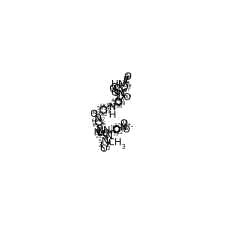 C[C@H]1COCCN1c1nc(-c2ccc([N+](=O)[O-])cc2)nc2c1cnn2C1CCN(C(=O)[C@H]2CC[C@H](CNc3ccc4c(c3)C(=O)N(C3CCC(=C=O)NC3=C=O)C4=O)CC2)CC1